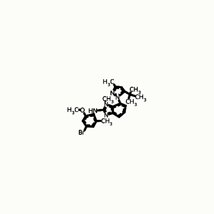 COc1cc(Br)cc(C)c1Nc1nc2cccc(-n3nc(C)cc3C(C)(C)C)c2n1C